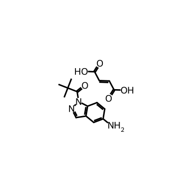 CC(C)(C)C(=O)n1ncc2cc(N)ccc21.O=C(O)C=CC(=O)O